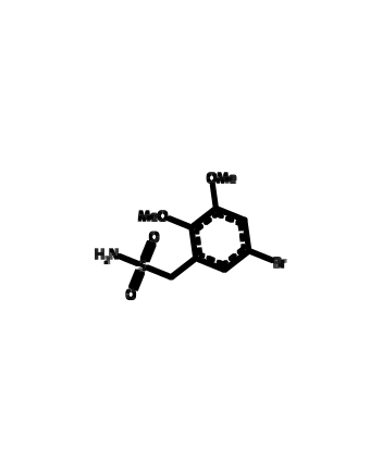 COc1cc(Br)cc(CS(N)(=O)=O)c1OC